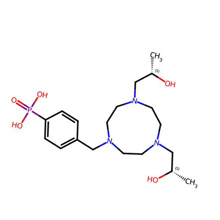 C[C@H](O)CN1CCN(Cc2ccc(P(=O)(O)O)cc2)CCN(C[C@H](C)O)CC1